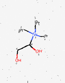 CC(C)[N+](C(C)C)(C(C)C)C(O)CO